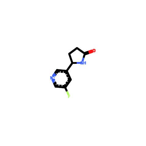 O=C1CCC(c2cncc(F)c2)N1